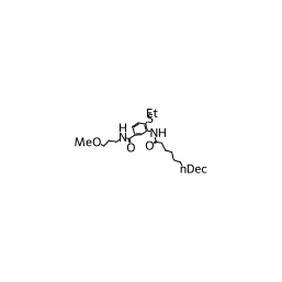 CCCCCCCCCCCCCCCC(=O)Nc1cc(C(=O)NCCCOC)ccc1SCC